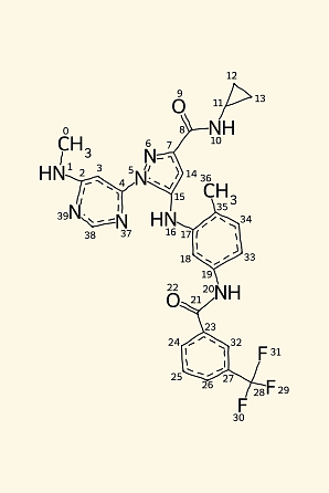 CNc1cc(-n2nc(C(=O)NC3CC3)cc2Nc2cc(NC(=O)c3cccc(C(F)(F)F)c3)ccc2C)ncn1